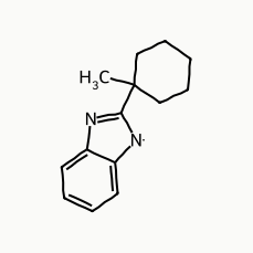 CC1(C2=Nc3ccccc3[N]2)CCCCC1